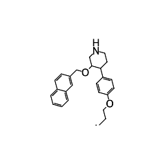 [CH2]CCOc1ccc(C2CCNCC2OCc2ccc3ccccc3c2)cc1